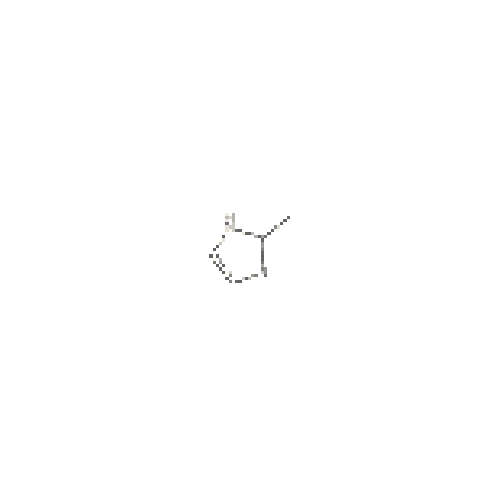 CC1N[C]=CS1